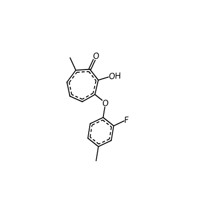 Cc1ccc(Oc2cccc(C)c(=O)c2O)c(F)c1